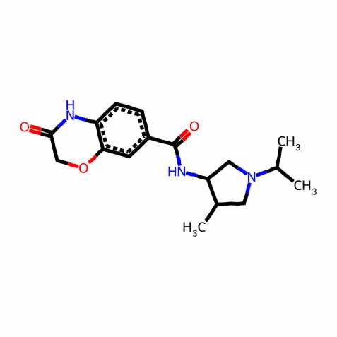 CC1CN(C(C)C)CC1NC(=O)c1ccc2c(c1)OCC(=O)N2